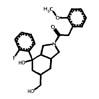 COc1ccccc1CC(=O)N1CC2CC(CO)CC(O)(c3ccccc3F)C2C1